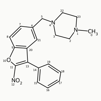 CN1CCN(Cc2ccc3oc([N+](=O)[O-])c(-c4ccccc4)c3c2)CC1